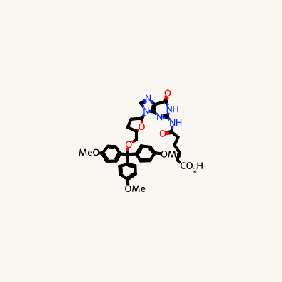 COc1ccc(C(OCC2CCC(n3cnc4c(=O)[nH]c(NC(=O)CCCCC(=O)O)nc43)O2)(c2ccc(OC)cc2)c2ccc(OC)cc2)cc1